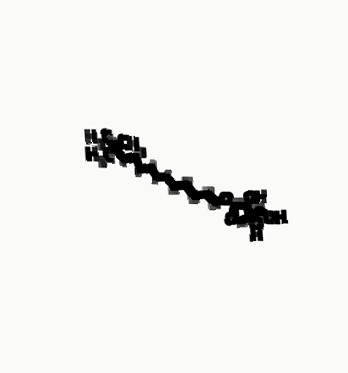 CC(C)(C)CCCCCCCCCCCO[C@H]1OCC(O)(CO)C1O